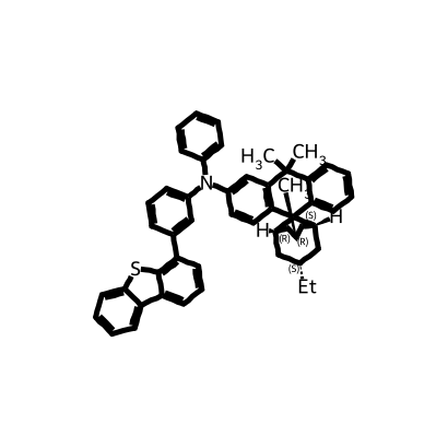 CC[C@@H]1C[C@H]2C[C@H](C)C[C@@H](C1)C21c2ccccc2C(C)(C)c2cc(N(c3ccccc3)c3cccc(-c4cccc5c4sc4ccccc45)c3)ccc21